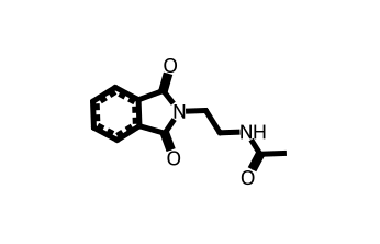 CC(=O)NCCN1C(=O)c2ccccc2C1=O